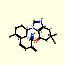 C=C(C#N)/C=C\C1=C(C)CCC(n2cnc3c2C(=O)CC(C)(C)C3)C1